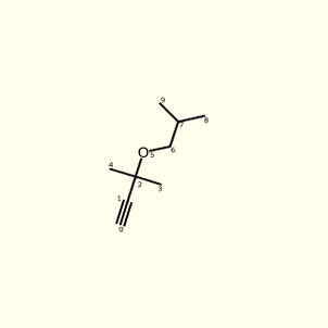 C#CC(C)(C)OCC(C)C